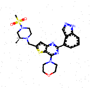 C[C@H]1CN(S(C)(=O)=O)CCN1Cc1cc2nc(-c3cccc4[nH]ncc34)nc(N3CCOCC3)c2s1